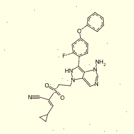 N#CC(=CC1CC1)S(=O)(=O)CCN1NC(c2ccc(Oc3ccccc3)cc2F)=C2C1=CN=CN2N